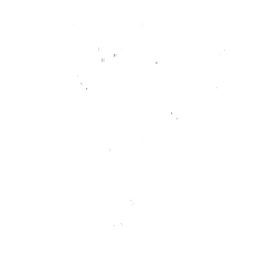 O[C@H](c1cc(-c2ccc(Cl)cc2)nc2ccccc12)[C@H]1CCCCN1